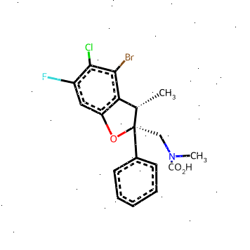 C[C@H]1c2c(cc(F)c(Cl)c2Br)O[C@]1(CN(C)C(=O)O)c1ccccc1